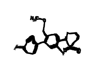 COCc1cc(N2CCCS2(=O)=O)c(F)cc1-c1ccc(I)cc1